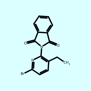 CCc1ccc(Br)nc1N1C(=O)c2ccccc2C1=O